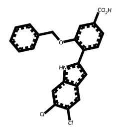 O=C(O)c1ccc(-c2cc3cc(Cl)c(Cl)cc3[nH]2)c(OCc2ccccc2)c1